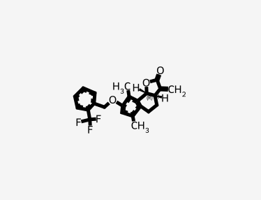 C=C1C(=O)O[C@H]2c3c(C)c(OCc4ccccc4C(F)(F)F)cc(C)c3CC[C@@H]12